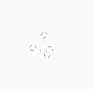 Cc1cc(C(C)Nc2ccccc2C(=O)O)c2nc(N3Cc4ccc(F)cc4C3)c(C#N)c(=O)n2c1